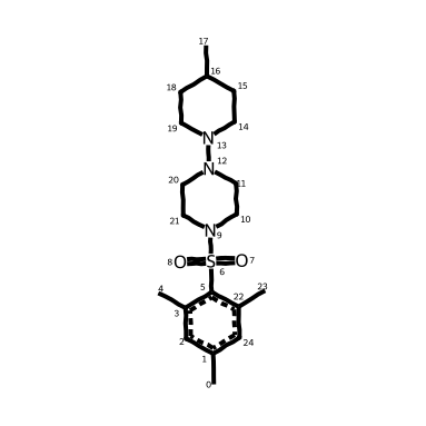 Cc1cc(C)c(S(=O)(=O)N2CCN(N3CCC(C)CC3)CC2)c(C)c1